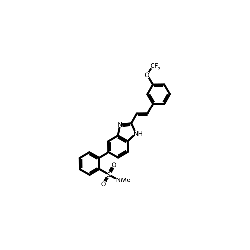 CNS(=O)(=O)c1ccccc1-c1ccc2[nH]c(C=Cc3cccc(OC(F)(F)F)c3)nc2c1